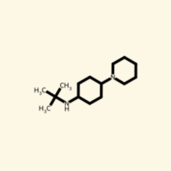 CC(C)(C)NC1CCC(N2CCCCC2)CC1